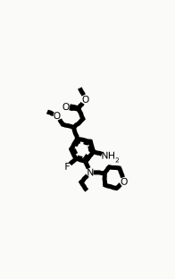 CCN(c1c(N)cc(C(COC)CC(=O)OC)cc1F)C1CCOCC1